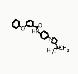 CN(C)C1CCN(c2ccc(NC(=O)c3cccc(Oc4ccccc4)c3)cc2)C1